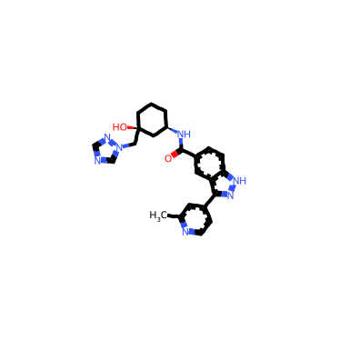 Cc1cc(-c2n[nH]c3ccc(C(=O)N[C@@H]4CCC[C@@](O)(Cn5cncn5)C4)cc23)ccn1